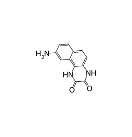 Nc1ccc2ccc3[nH]c(=O)c(=O)[nH]c3c2c1